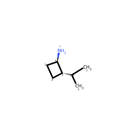 CC(C)[C@@H]1CC[C@H]1N